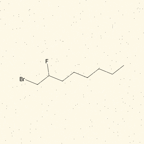 CCCCCCC(F)CBr